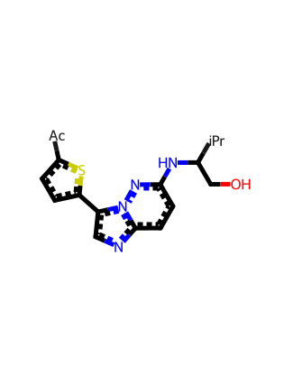 CC(=O)c1ccc(-c2cnc3ccc(NC(CO)C(C)C)nn23)s1